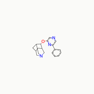 c1ccc(-c2cncc(OC3C4CC5CC3CN(C5)C4)n2)cc1